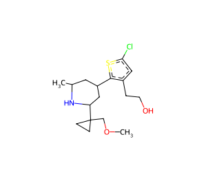 COCC1(C2CC(c3sc(Cl)cc3CCO)CC(C)N2)CC1